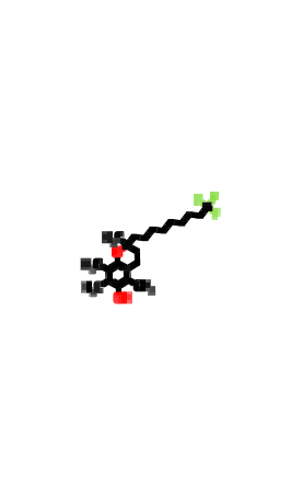 Cc1c(C)c2c(c(C)c1O)CCC(C)(CCCCCCCCC(F)(F)F)O2